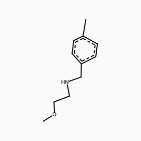 COCCNCc1ccc(C)cc1